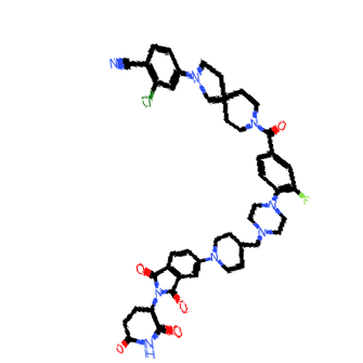 N#Cc1ccc(N2CCC3(CCN(C(=O)c4ccc(N5CCN(CC6CCN(c7ccc8c(c7)C(=O)N(C7CCC(=O)NC7=O)C8=O)CC6)CC5)c(F)c4)CC3)C2)cc1Cl